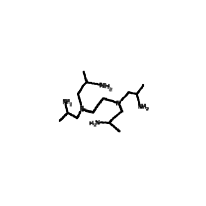 CC(N)CN(CCN(CC(C)N)CC(C)N)CC(C)N